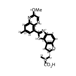 COc1cnc2c(-c3nc4ccc5c(c4s3)C[C@@H](CN(C)C(=O)O)O5)cc(C)cc2n1